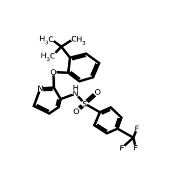 CC(C)(C)c1ccccc1Oc1ncccc1NS(=O)(=O)c1ccc(C(F)(F)F)cc1